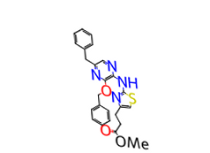 COC(=O)CCc1csc(Nc2ncc(Cc3ccccc3)nc2OCc2ccccc2)n1